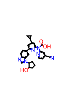 N#Cc1ccnc(N(C(=O)O)c2cc(C3CC3)cc(-c3ccc4ncn(C5CCCC5O)c4c3)n2)c1